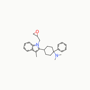 Cc1c(C2CCC(c3ccccc3)(N(C)C)CC2)n(CC2CO2)c2ccccc12